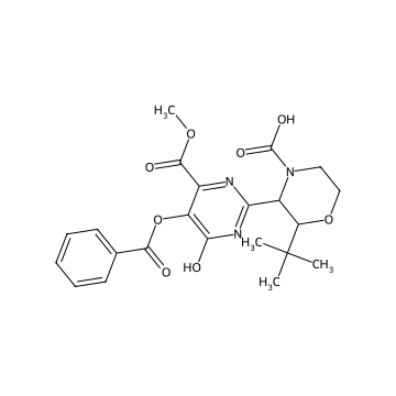 COC(=O)c1nc(C2C(C(C)(C)C)OCCN2C(=O)O)nc(O)c1OC(=O)c1ccccc1